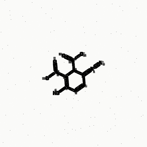 [N-]=[N+]=C1C=CC(O)=C([N+](=O)[O-])C1[N+](=O)[O-]